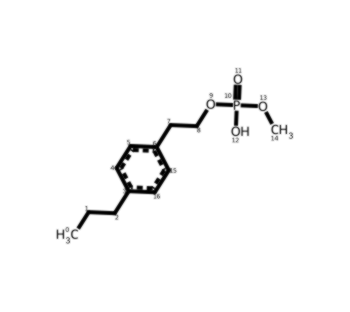 CCCc1ccc(CCOP(=O)(O)OC)cc1